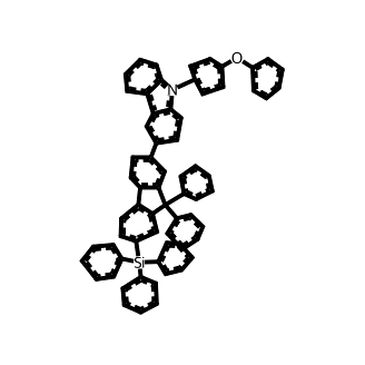 c1ccc(Oc2ccc(-n3c4ccccc4c4cc(-c5ccc6c(c5)C(c5ccccc5)(c5ccccc5)c5cc([Si](c7ccccc7)(c7ccccc7)c7ccccc7)ccc5-6)ccc43)cc2)cc1